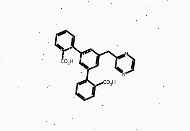 O=C(O)c1ccccc1-c1cc(Cc2cnccn2)cc(-c2ccccc2C(=O)O)c1